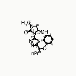 CCCC(Oc1ccccc1)c1nnc(N2C(=O)N(C)CC2O)s1